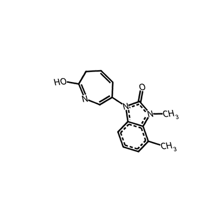 Cc1cccc2c1n(C)c(=O)n2C1=CN=C(O)CC=C1